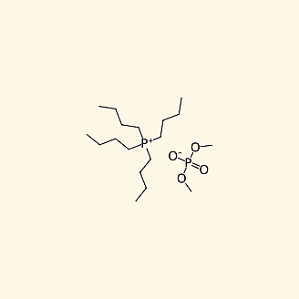 CCCC[P+](CCCC)(CCCC)CCCC.COP(=O)([O-])OC